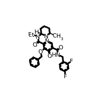 CCN1C(=O)c2c(OCc3ccccc3)c(=O)c(C(=O)NCc3ccc(F)cc3F)cn2N2[C@H](C)CCC[C@@H]12